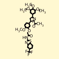 COc1ccc(C2CC(c3cc(OC)c(OC)c(OC)c3)=NN2C(C)=O)cc1OCC(=O)Nc1nc2cc(C(F)(F)F)ccc2s1